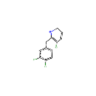 Fc1cc(CC2=C(Cl)C=CCN2)ccc1Cl